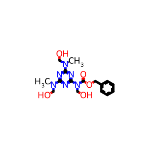 CN(CO)c1nc(N(C)CO)nc(N(CO)C(=O)OCc2ccccc2)n1